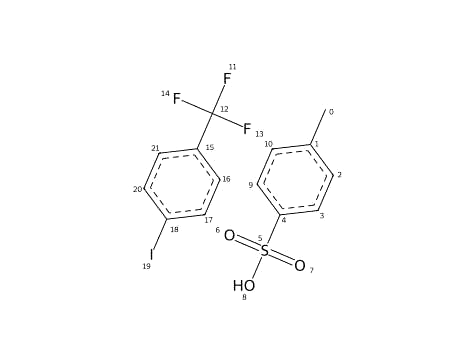 Cc1ccc(S(=O)(=O)O)cc1.FC(F)(F)c1ccc(I)cc1